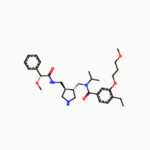 CCc1ccc(C(=O)N(C[C@@H]2CNC[C@H]2CNC(=O)[C@H](OC)c2ccccc2)C(C)C)cc1OCCCOC